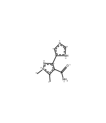 Cc1c(C(N)=O)c(-c2cnc[nH]2)nn1C